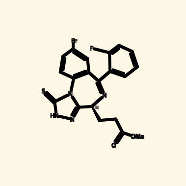 COC(=O)CC[C@@H]1N=C(c2ccccc2F)c2cc(Br)ccc2-n2c1n[nH]c2=S